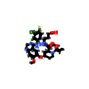 C=CC(=O)N1CC[C@H](Oc2cc3c(Nc4ccc(F)c(Cl)c4F)ncnc3cc2OC)C[C@H]1C(=O)NCCCO